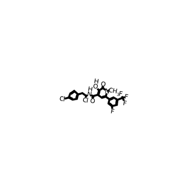 Cn1c(-c2cc(F)cc(C(F)(F)F)c2)cc(C(=O)NC(Cl)Cc2ccc(Cl)cc2)c(O)c1=O